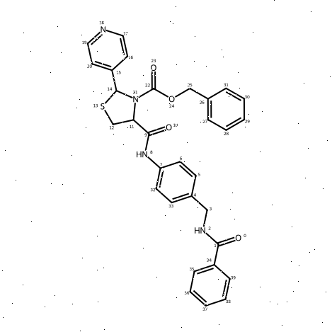 O=C(NCc1ccc(NC(=O)C2CSC(c3ccncc3)N2C(=O)OCc2ccccc2)cc1)c1ccccc1